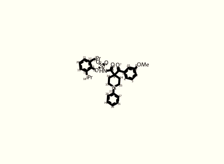 COc1cccc(C(=O)C2(C(=O)NS(=O)(=O)Oc3c(C(C)C)cccc3C(C)C)CCN(c3ccccc3)CC2)c1